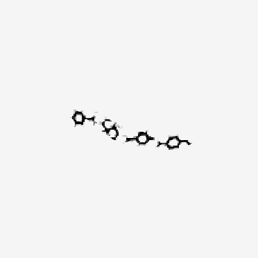 C=Cc1ccc(C(=O)Oc2ccc(C(=O)O[C@H]3CO[C@H]4[C@@H]3OC[C@@H]4OC(=O)c3ccccc3)cc2)cc1